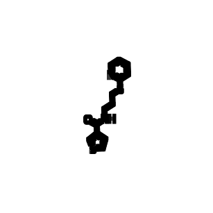 O=C(NCCCSc1ccccn1)c1ccsc1